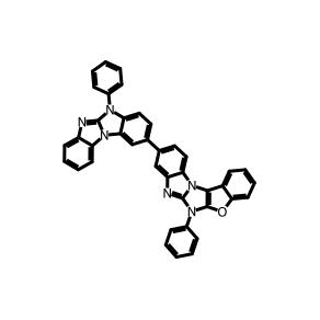 c1ccc(-n2c3ccc(-c4ccc5c(c4)nc4n(-c6ccccc6)c6oc7ccccc7c6n54)cc3n3c4ccccc4nc23)cc1